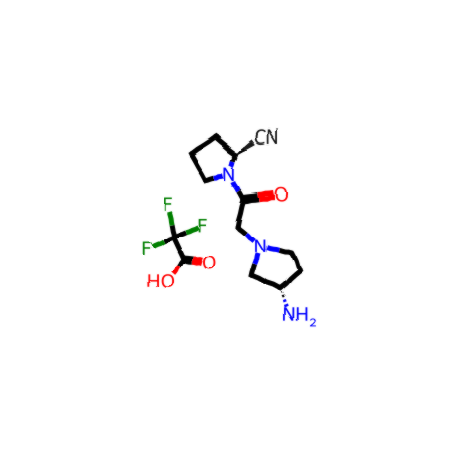 N#C[C@@H]1CCCN1C(=O)CN1CC[C@H](N)C1.O=C(O)C(F)(F)F